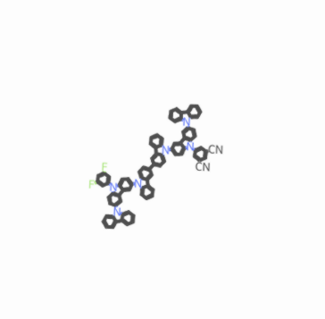 N#Cc1cc(C#N)cc(-n2c3ccc(-n4c5ccccc5c5ccccc54)cc3c3cc(-n4c5ccccc5c5cc(-c6ccc7c(c6)c6ccccc6n7-c6ccc7c(c6)c6cc(-n8c9ccccc9c9ccccc98)ccc6n7-c6cc(F)cc(F)c6)ccc54)ccc32)c1